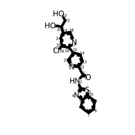 O=C(Nc1nc2ccccc2s1)c1ccc(-c2ncc(C(O)CO)cc2Cl)cn1